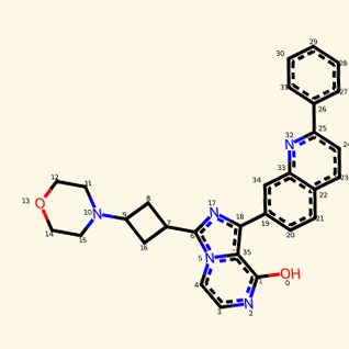 Oc1nccn2c(C3CC(N4CCOCC4)C3)nc(-c3ccc4ccc(-c5ccccc5)nc4c3)c12